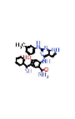 Cc1cccc(Nc2nc(NC3C4CC(C(C(=N)c5ccccc5)C4O)C3C(N)=O)c3cc[nH]c3n2)c1